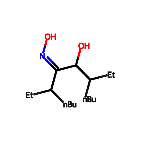 CCCCC(CC)/C(=N/O)C(O)C(CC)CCCC